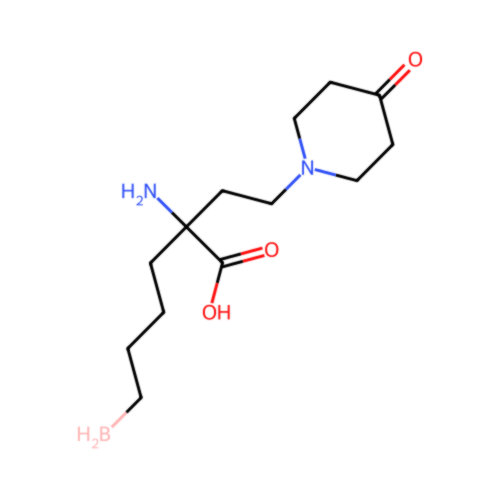 BCCCCC(N)(CCN1CCC(=O)CC1)C(=O)O